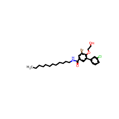 CCCCCCCCCCCCNC(=O)c1cc(Br)c(OCCO)c(-c2cccc(Cl)c2)c1